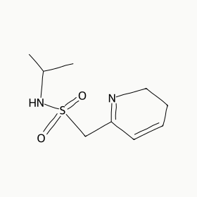 CC(C)NS(=O)(=O)CC1=NCCC=C1